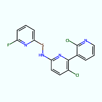 Fc1cccc(SNc2ccc(Cl)c(-c3cccnc3Cl)n2)n1